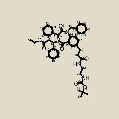 CCOC(=O)CC(c1ccccc1)N1C(=O)c2cc(CCC(=O)NCCNC(=O)OC(C)(C)C)ccc2N(Cc2ccccc2)C(=O)C1c1ccccc1